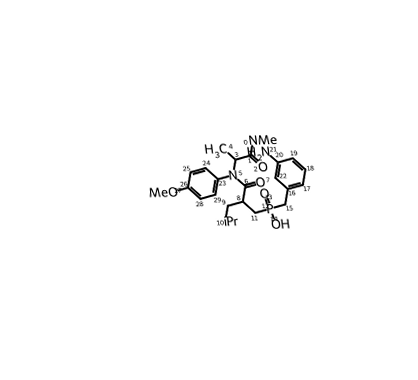 CNC(=O)C(C)N(C(=O)C(CC(C)C)CP(=O)(O)Cc1cccc(N)c1)c1ccc(OC)cc1